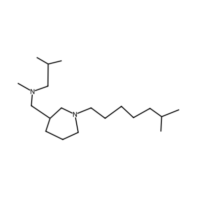 CC(C)CCCCCN1CCCC(CN(C)CC(C)C)C1